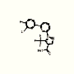 O=C(O)c1cnn(-c2cccc(-c3ccc(F)c(Cl)c3)n2)c1C(F)(F)F